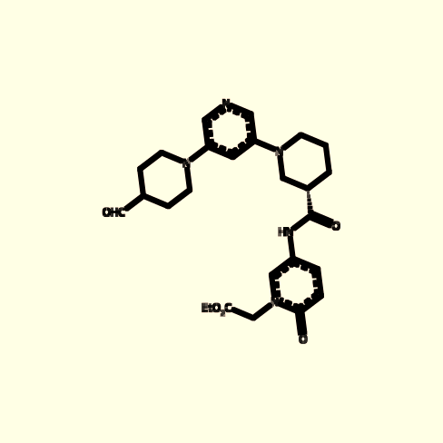 CCOC(=O)Cn1cc(NC(=O)[C@H]2CCCN(c3cncc(N4CCC(C=O)CC4)c3)C2)ccc1=O